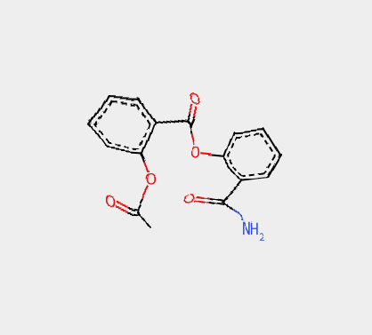 CC(=O)Oc1ccccc1C(=O)Oc1ccccc1C(N)=O